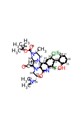 C[C@@H]1CN2c3c4c(nc5c(F)c(-c6c(O)cccc6F)c(Cl)cc35)O[C@H](CN(C)C)CN4C(=C=O)[C@H]2CN1C(=O)OC(C)(C)C